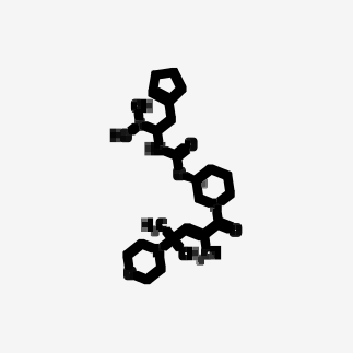 CC(C)(C=C(C#N)C(=O)N1CCC[C@H](OC(=O)NC(CC2=CCCC2)B(O)O)C1)N1CCOCC1